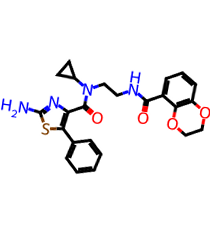 Nc1nc(C(=O)N(CCNC(=O)c2cccc3c2OCCO3)C2CC2)c(-c2ccccc2)s1